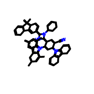 CC1=CC(C)Cc2c1n(C1CC(n3c4c(c5c3C=CCC5)CCC=C4)C(C#N)CC1C1NC(C3=CCC4C(=C3)C3CC=CC=C3C4(C)C)N1C1C=CCCC1)c1c(C)cc(C)cc21